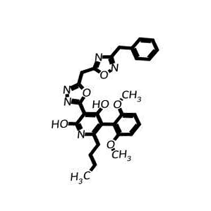 CCCCc1nc(O)c(-c2nnc(Cc3nc(Cc4ccccc4)no3)o2)c(O)c1-c1c(OC)cccc1OC